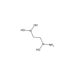 NN(O)CCN(O)O